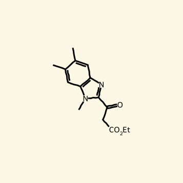 CCOC(=O)CC(=O)c1nc2cc(C)c(C)cc2n1C